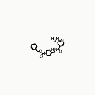 Nc1nccc(C(=O)NCC2CCN(C(=O)OCc3ccccc3)CC2)n1